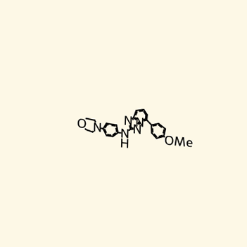 COc1ccc(-c2cccc3nc(Nc4ccc(N5CCOCC5)cc4)nn23)cc1